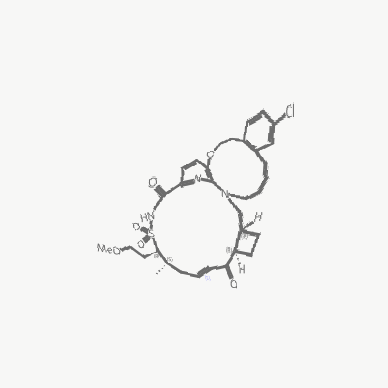 COCC[C@@H]1[C@@H](C)C/C=C/C(=O)[C@@H]2CC[C@H]2CN2CCCCc3cc(Cl)ccc3CCOc3ccc(nc32)C(=O)NS1(=O)=O